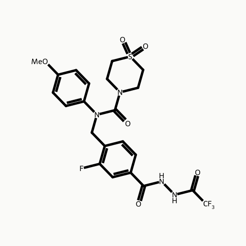 COc1ccc(N(Cc2ccc(C(=O)NNC(=O)C(F)(F)F)cc2F)C(=O)N2CCS(=O)(=O)CC2)cc1